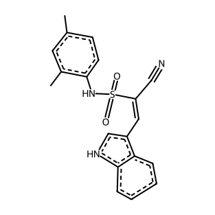 Cc1ccc(NS(=O)(=O)/C(C#N)=C\c2c[nH]c3ccccc23)c(C)c1